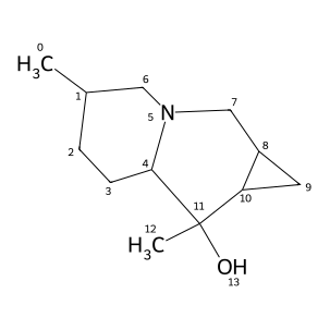 CC1CCC2N(C1)CC1CC1C2(C)O